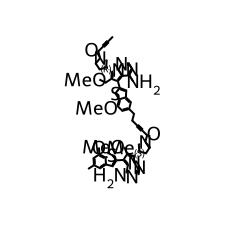 CC#CC(=O)N1CC[C@@H](c2c(COC)c(-c3cc4cc(CCC#CC(=O)N5CC[C@H](c6c(COC)c(-c7cc8cc(C)cc(OC)c8s7)c7c(N)ncnn67)C5)cc(OC)c4s3)c3c(N)ncnn23)C1